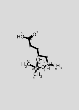 C[SiH](CCCCC(=O)O)O[Si](C)(C)C